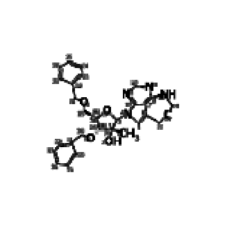 C[C@]1(O)C(n2cc3c4c(ncnc42)NCCC3)O[C@H](COCc2ccccc2)[C@H]1OCc1ccccc1